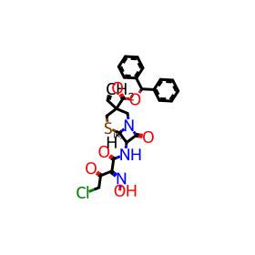 C=CC1(C(=O)OC(c2ccccc2)c2ccccc2)CS[C@@H]2C(NC(=O)C(=NO)C(=O)CCl)C(=O)N2C1